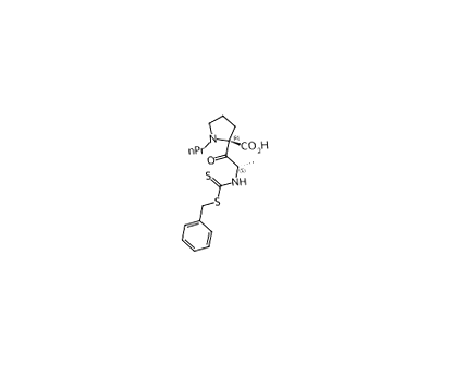 CCCN1CCC[C@]1(C(=O)O)C(=O)[C@H](C)NC(=S)SCc1ccccc1